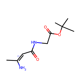 C/C(N)=C/C(=O)NCC(=O)OC(C)(C)C